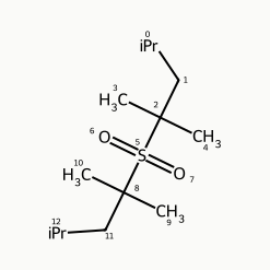 CC(C)CC(C)(C)S(=O)(=O)C(C)(C)CC(C)C